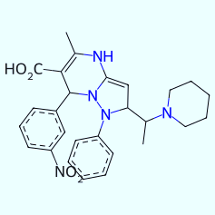 CC1=C(C(=O)O)C(c2cccc([N+](=O)[O-])c2)N2C(=CC(C(C)N3CCCCC3)N2c2ccccc2)N1